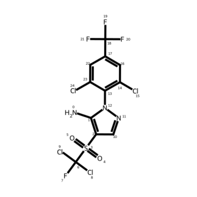 Nc1c(S(=O)(=O)C(F)(Cl)Cl)cnn1-c1c(Cl)cc(C(F)(F)F)cc1Cl